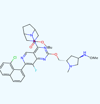 CON[C@@H]1C[C@@H](COc2nc(N3CC4CCC(C3)N4C(=O)OC(C)(C)C)c3cnc(-c4cccc5cccc(Cl)c45)c(F)c3n2)N(C)C1